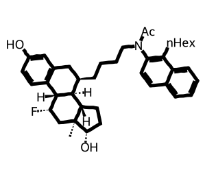 CCCCCCc1c(N(CCCC[C@@H]2Cc3cc(O)ccc3[C@@H]3[C@@H]2[C@@H]2CC[C@H](O)[C@@]2(C)C[C@@H]3F)C(C)=O)ccc2ccccc12